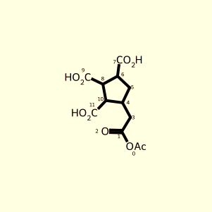 CC(=O)OC(=O)CC1CC(C(=O)O)C(C(=O)O)C1C(=O)O